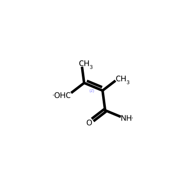 C/C([C]=O)=C(\C)C([NH])=O